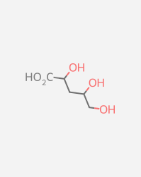 O=C(O)C(O)CC(O)CO